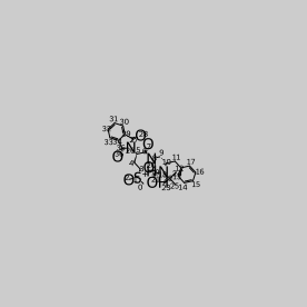 C[S+]([O-])CC[C@H](C(=O)NC[C@H](Cc1ccccc1)N(C(=O)O)C(C)(C)C)N1C(=O)c2ccccc2C1=O